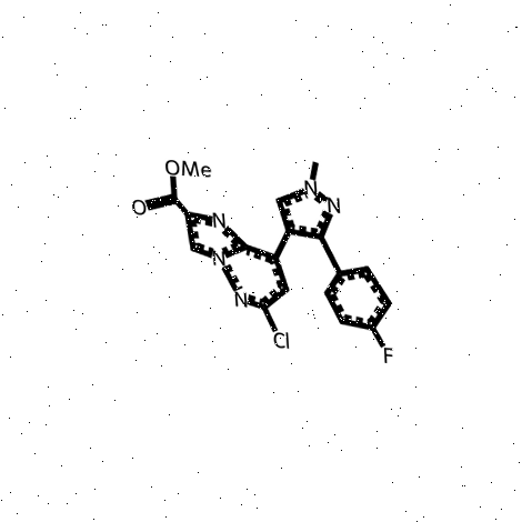 COC(=O)c1cn2nc(Cl)cc(-c3cn(C)nc3-c3ccc(F)cc3)c2n1